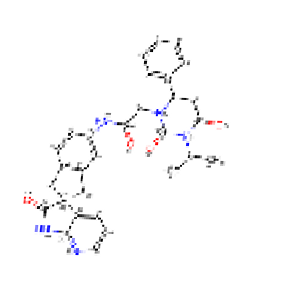 CC(C)N1C(=O)CC(c2ccccc2)N(CC(=O)Nc2ccc3c(c2)C[C@@]2(C3)C(=O)Nc3ncccc32)C1=O